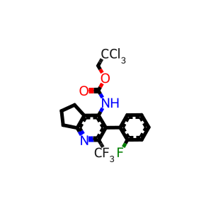 O=C(Nc1c2c(nc(C(F)(F)F)c1-c1ccccc1F)CCC2)OCC(Cl)(Cl)Cl